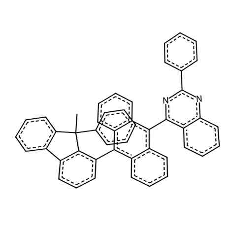 CC1(c2ccccc2)c2ccccc2-c2cccc(-c3c4ccccc4c(-c4nc(-c5ccccc5)nc5ccccc45)c4ccccc34)c21